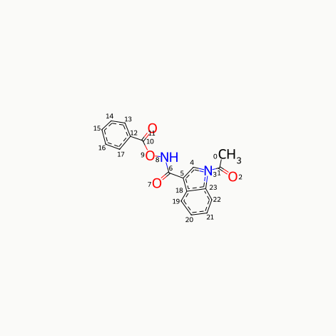 CC(=O)n1cc(C(=O)NOC(=O)c2ccccc2)c2ccccc21